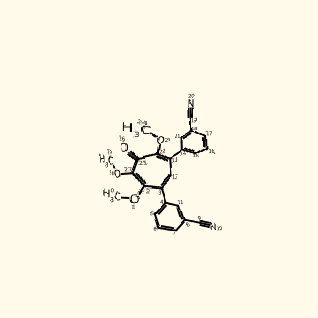 COc1c(-c2cccc(C#N)c2)cc(-c2cccc(C#N)c2)c(OC)c(=O)c1OC